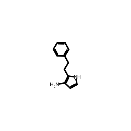 Nc1cc[nH]c1CCc1ccccc1